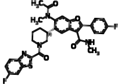 CNC(=O)c1c(-c2ccc(F)cc2)oc2cc(N(C)C(C)=O)c([C@H]3CCCN(C(=O)c4nc5ccc(F)cc5s4)C3)cc12